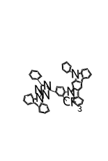 FC(F)(F)c1cc(-c2nc(-c3ccccc3)nc(-n3c4ccccc4c4ccccc43)n2)ccc1-n1c2ccccc2c2cc3c4ccccc4n(-c4ccccc4)c3cc21